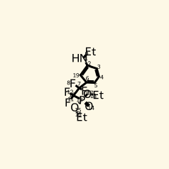 CCNc1cccc(C(F)(F)C(F)(F)P(=O)(OCC)OCC)c1